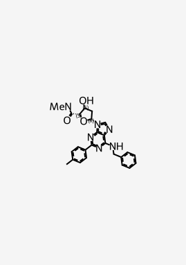 CNC(=O)[C@H]1O[C@@H](n2cnc3c(NCc4ccccc4)nc(-c4ccc(C)cc4)nc32)C[C@@H]1O